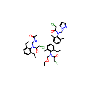 CCOCN(C(=O)CCl)c1c(C)cccc1CC.CCc1cccc(CC)c1N(CNC(C)=O)C(=O)CCl.Cc1cccc(C)c1N(Cn1cccn1)C(=O)CCl